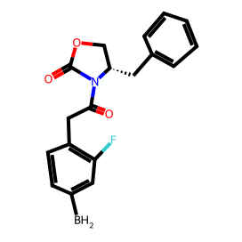 Bc1ccc(CC(=O)N2C(=O)OC[C@@H]2Cc2ccccc2)c(F)c1